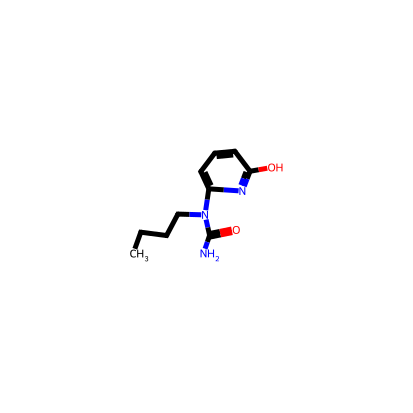 CCCCN(C(N)=O)c1cccc(O)n1